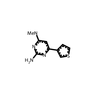 CNc1cc(-c2ccsc2)nc(N)n1